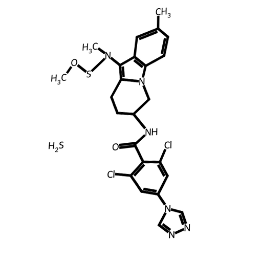 COSN(C)c1c2n(c3ccc(C)cc13)CC(NC(=O)c1c(Cl)cc(-n3cnnc3)cc1Cl)CC2.S